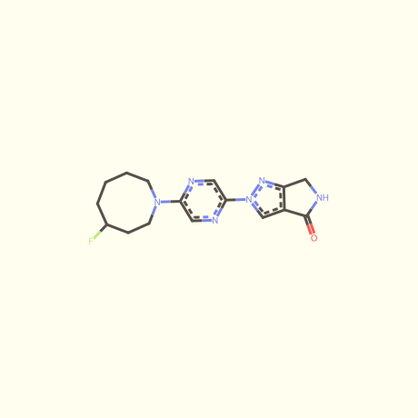 O=C1NCc2nn(-c3cnc(N4CCCCC(F)CC4)cn3)cc21